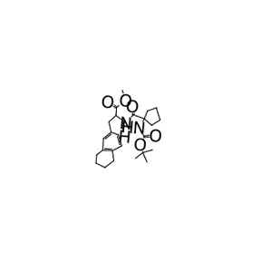 COC(=O)C(Cc1ccc2c(c1)CCCC2)NC(=O)C1(NC(=O)OC(C)(C)C)CCCC1